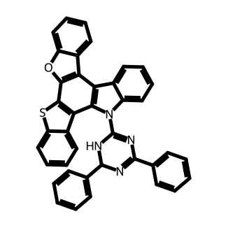 c1ccc(C2=NC(c3ccccc3)NC(n3c4ccccc4c4c5c6ccccc6oc5c5sc6ccccc6c5c43)=N2)cc1